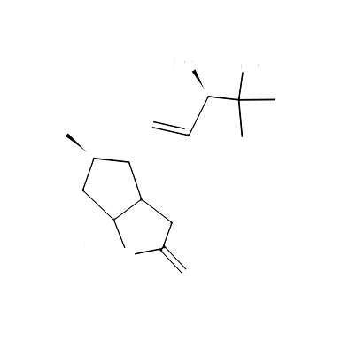 CCCCC(C)(C)[C@H](O)C=C[C@@H]1[C@H]2CC(=O)O[C@H]2C[C@H]1C